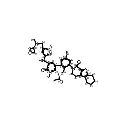 CC(=O)OCc1c(-c2cc(Nc3cc(CN(C)C4COC4)n(C)n3)c(=O)n(C)c2)cc(F)cc1N1CCc2c(sc3c2CCCC3)C1=O